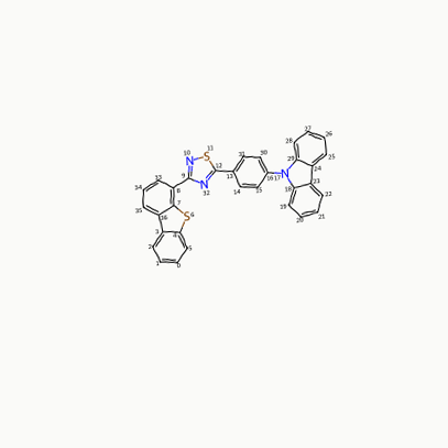 c1ccc2c(c1)sc1c(-c3nsc(-c4ccc(-n5c6ccccc6c6ccccc65)cc4)n3)cccc12